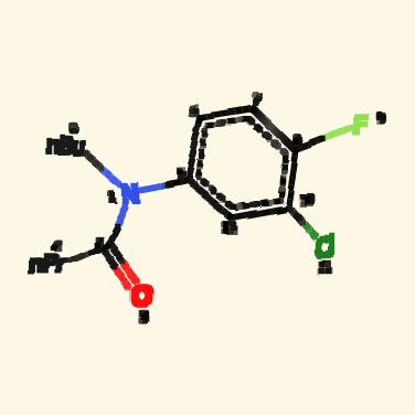 CCCCN(C(=O)CCC)c1ccc(F)c(Cl)c1